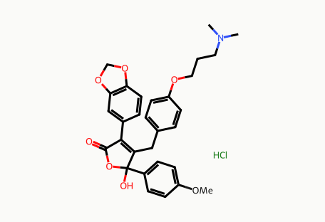 COc1ccc(C2(O)OC(=O)C(c3ccc4c(c3)OCO4)=C2Cc2ccc(OCCCN(C)C)cc2)cc1.Cl